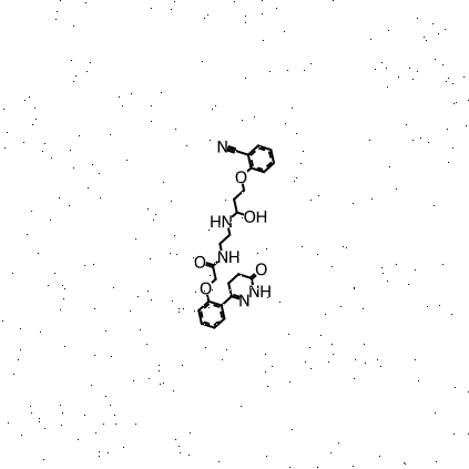 N#Cc1ccccc1OCCC(O)NCCNC(=O)COc1ccccc1C1=NNC(=O)CC1